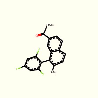 COC(=O)c1ccc2ccc(C)c(-c3c(F)cc(F)cc3F)c2c1